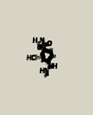 CNNc1ccc(S(N)(=O)=O)cc1.Cl